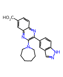 O=C(O)c1ccc2nc(-c3ccc4[nH]ncc4c3)c(N3CCCCCC3)nc2c1